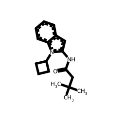 CC(C)(C)CC(=O)Nc1cc2ccccc2n1C1CCC1